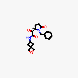 O=C(NC1CC2(COC2)C1)C(=O)[C@H]1CCC(=O)N1Cc1ccccc1